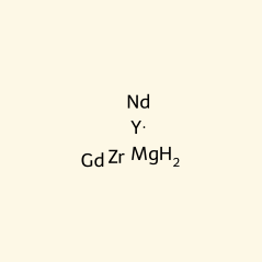 [Gd].[MgH2].[Nd].[Y].[Zr]